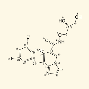 O=C(NOC[C@@H](O)CO)c1cn2ccnc2c(Cl)c1Nc1ccc(I)cc1F